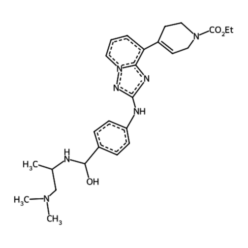 CCOC(=O)N1CC=C(c2cccn3nc(Nc4ccc(C(O)NC(C)CN(C)C)cc4)nc23)CC1